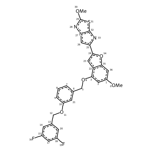 COc1cc(OCc2cccc(OCc3cc(F)cc(F)c3)c2)c2cc(-c3cn4nc(OC)sc4n3)oc2c1